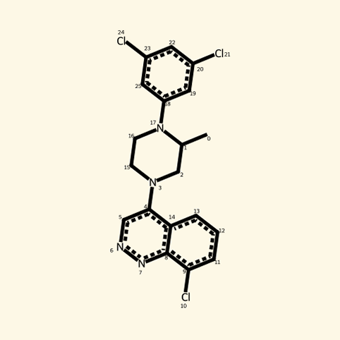 CC1CN(c2cnnc3c(Cl)cccc23)CCN1c1cc(Cl)cc(Cl)c1